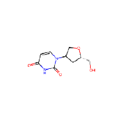 O=c1ccn(C2CO[C@H](CO)C2)c(=O)[nH]1